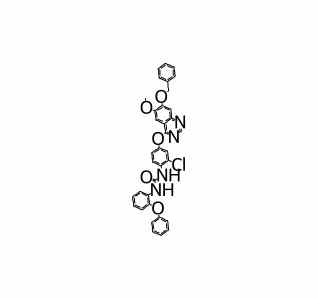 COc1cc2c(Oc3ccc(NC(=O)Nc4ccccc4Oc4ccccc4)c(Cl)c3)ncnc2cc1OCc1ccccc1